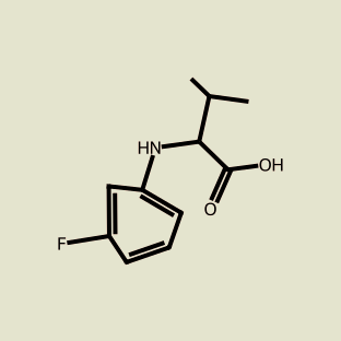 CC(C)C(Nc1cccc(F)c1)C(=O)O